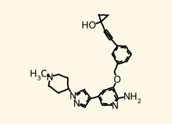 CN1CCC(n2cc(-c3cnc(N)c(OCc4cccc(C#CC5(O)CC5)c4)c3)cn2)CC1